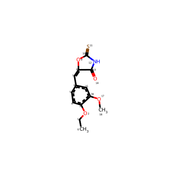 CCOc1ccc(/C=C2/OC(=S)NC2=O)cc1OC